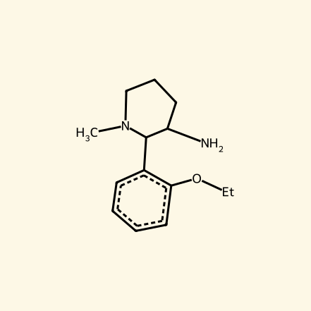 CCOc1ccccc1C1C(N)CCCN1C